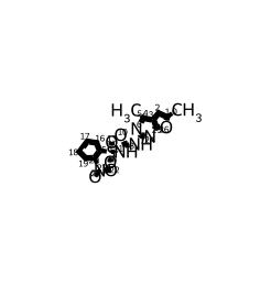 Cc1cc2c(C)nc(NC(=O)NS(=O)(=O)c3ccccc3[N+](=O)[O-])nc2o1